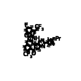 CCCn1cc(-c2ncc3c(n2)CN(C(=O)c2cc(CN4C(=N)N[C@](CCCC(F)(F)F)(c5ccc(F)cc5)C4=O)ccc2C(F)(F)F)C3)cn1